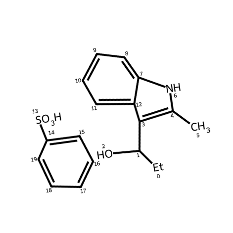 CCC(O)c1c(C)[nH]c2ccccc12.O=S(=O)(O)c1ccccc1